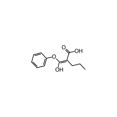 CCCC(C(=O)O)=C(O)Oc1ccccc1